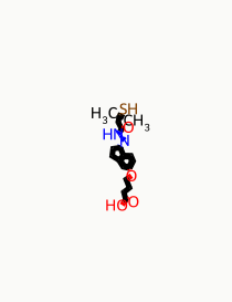 CC(C)(S)CC(=O)N/N=C1\CCc2cc(OCCCC(=O)O)ccc21